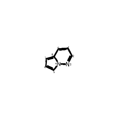 [c]1ccnn2cccc12